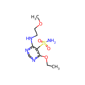 CCOc1ncnc(NCCOC)c1S(N)(=O)=O